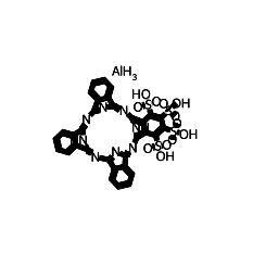 O=S(=O)(O)c1c(S(=O)(=O)O)c(S(=O)(=O)O)c2c3nc4nc(nc5[nH]c(nc6nc(nc([nH]3)c2c1S(=O)(=O)O)-c1ccccc1-6)c1ccccc51)-c1ccccc1-4.[AlH3]